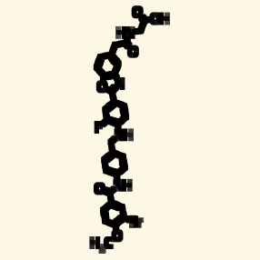 COc1ccc(C(=O)Nc2ccc(CNc3ccc(-c4nc5cc(CC(=O)NCC(=O)O)ccc5o4)cc3F)cc2)cc1Br